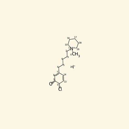 C[N+]1(CCCCCC2=CC(=O)C(Cl)C=C2)CCCCC1.[I-]